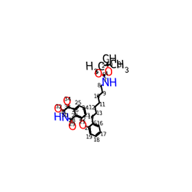 CC(C)(C)OC(=O)NCCCCCCCc1ccccc1Oc1cccc2c1C(=O)NC(=O)C2=O